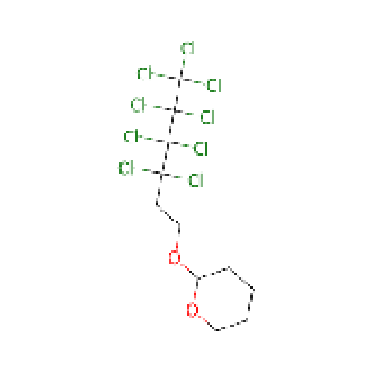 ClC(Cl)(Cl)C(Cl)(Cl)C(Cl)(Cl)C(Cl)(Cl)CCOC1CCCCO1